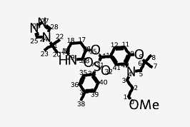 COCCCN1CC(C)(C)Oc2ccc(C(O[C@@H]3CC[C@@H](CC(C)(C)n4cnnc4)NC3)S(=O)(=O)c3ccc(C)cc3)cc21